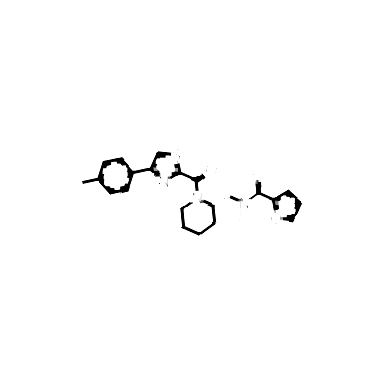 Cc1ccc(-c2csc(C(=O)N3CCCC[C@H]3CNC(=O)c3ccco3)n2)cc1